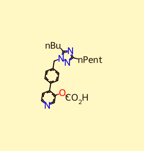 CCCCCc1nc(CCCC)n(Cc2ccc(-c3ccncc3OC(=O)O)cc2)n1